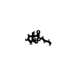 CCCCOC(=O)C1(C)CCC=[N+]1[O-]